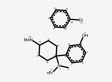 CCCN(C)C1(c2cccc(O)c2)CCC(NC)CC1.CCc1ccccc1